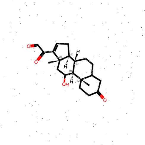 C[C@]12CCC(=O)CC1CC[C@@H]1[C@@H]2C(O)C[C@]2(C)C(C(=O)C=O)=CC[C@@H]12